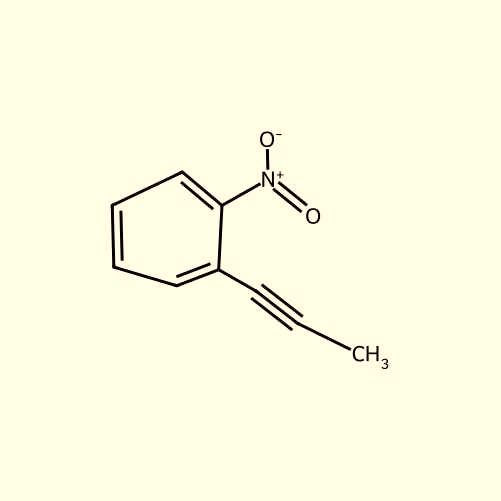 CC#Cc1ccccc1[N+](=O)[O-]